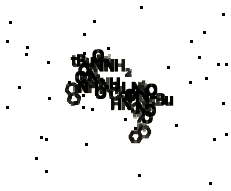 C[C@H](N)C(=O)N[C@H](C(=O)N1CC(NC(=O)c2ccc(C(=O)N[C@H]3C[C@@H](C(=O)N[C@@H]4CCCc5ccccc54)N(C(=O)[C@@H](NC(=O)[C@H](C)N)C(C)(C)C)C3)cc2)C[C@H]1C(=O)C[C@@H]1CCCc2ccccc21)C(C)(C)C